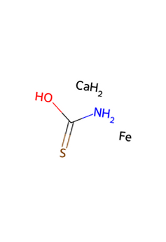 NC(O)=S.[CaH2].[Fe]